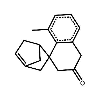 Cc1cccc2c1C1(CC(=O)C2)CC2=CCC1C2